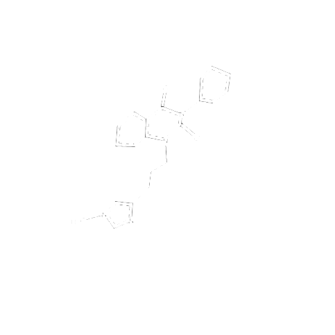 Cn1cnc(CCCn2c(=O)n(-c3ccccc3)c(=O)c3ccccc32)c1